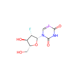 O=C1NC(=O)N([C@@H]2O[C@H](CO)[C@@H](O)[C@@H]2F)C=I1